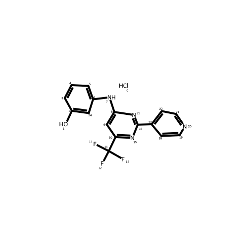 Cl.Oc1cccc(Nc2cc(C(F)(F)F)nc(-c3ccncc3)n2)c1